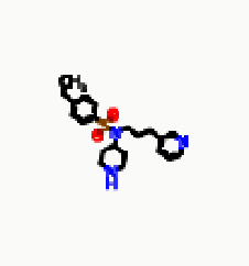 CCc1ccc(S(=O)(=O)N(CCCc2cccnc2)C2CCNCC2)cc1